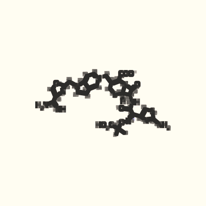 CC(C)(O/N=C(\C(=O)N[C@@H]1C(=O)N2C(C(=O)[O-])=C(C[n+]3ccc4c(ccn4Cc4nc(C(=N)N)co4)c3)CS[C@H]12)c1csc(N)n1)C(=O)O